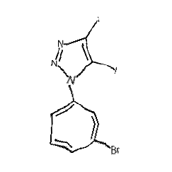 Brc1cccc(-n2nnc(I)c2I)c1